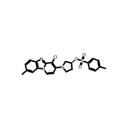 Cc1ccc(S(=O)(=O)O[C@H]2CCN(c3ccn4c(nc5ccc(C)cc54)c3Cl)C2)cc1